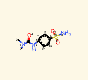 CN(C)C(=O)Nc1ccc(S(N)(=O)=O)cc1